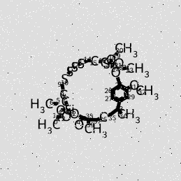 CCO[Si]1(OCC)CCCSSSSCCC[Si](OCC)(OCC)Oc2ccc(cc2OC)C(C)CCCC(C)C(=O)O1